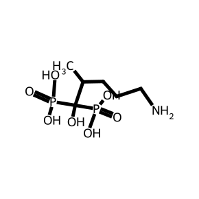 CC(CCCN)C(O)(P(=O)(O)O)P(=O)(O)O